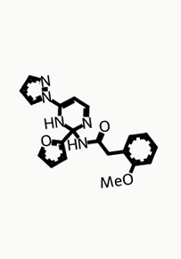 COc1ccccc1CC(=O)NC1(c2ccco2)N=CC=C(n2cccn2)N1